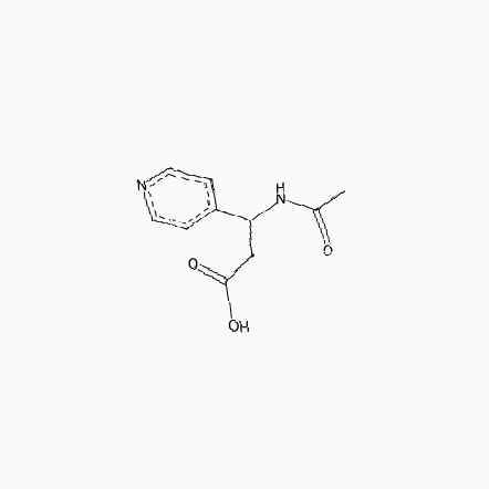 CC(=O)NC(CC(=O)O)c1ccncc1